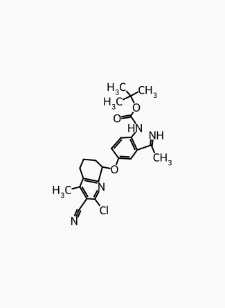 CC(=N)c1cc(OC2CCCc3c2nc(Cl)c(C#N)c3C)ccc1NC(=O)OC(C)(C)C